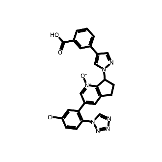 O=C(O)c1cccc(-c2cnn(C3CCc4cc(-c5cc(Cl)ccc5-n5cnnn5)c[n+]([O-])c43)c2)c1